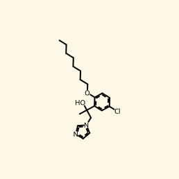 CCCCCCCCOc1ccc(Cl)cc1C(C)(O)Cn1ccnc1